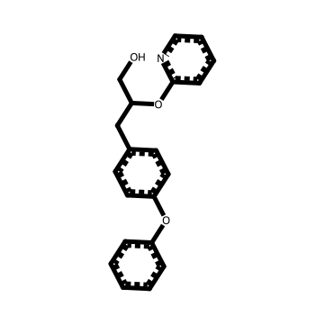 OCC(Cc1ccc(Oc2ccccc2)cc1)Oc1ccccn1